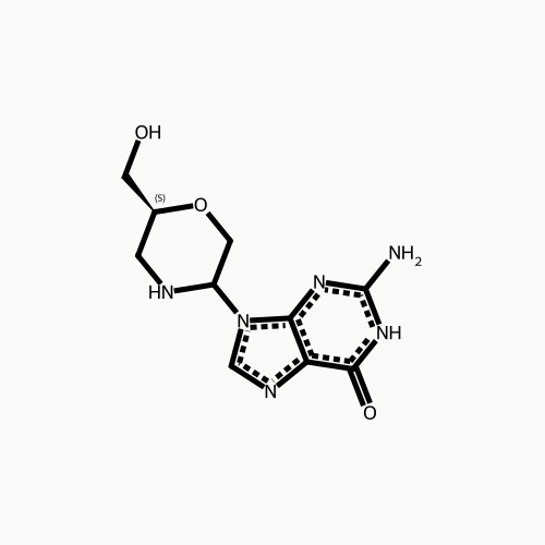 Nc1nc2c(ncn2C2CO[C@H](CO)CN2)c(=O)[nH]1